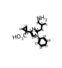 CC(CN)Cc1nc(C2(C(=O)O)CC2)cn1-c1ccccc1